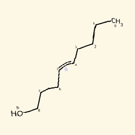 CCCC/C=C/CCCO